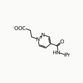 CC(C)NC(=O)c1cc[n+](CCC(=O)[O-])nc1